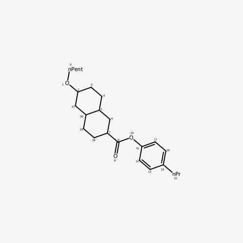 CCCCCOC1CCC2CC(C(=O)Oc3ccc(CCC)cc3)CCC2C1